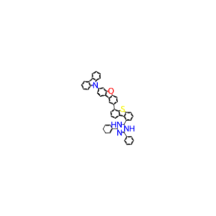 C1=CC(C2N=C(c3ccccc3)NC(c3cccc4sc5c(-c6ccc7oc8cc(-n9c%10ccccc%10c%10ccccc%109)ccc8c7c6)cccc5c34)N2)=CCC1